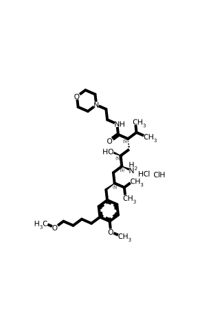 COCCCCc1cc(C[C@@H](C[C@H](N)[C@@H](O)C[C@H](C(=O)NCCN2CCOCC2)C(C)C)C(C)C)ccc1OC.Cl.Cl